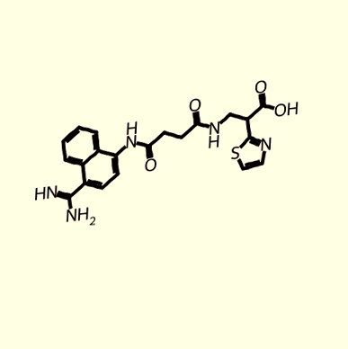 N=C(N)c1ccc(NC(=O)CCC(=O)NCC(C(=O)O)c2nccs2)c2ccccc12